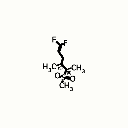 C[C@H]([C@@H](C)CC=C(F)F)S(C)(=O)=O